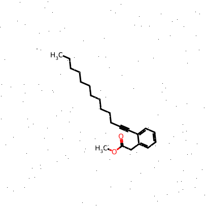 CCCCCCCCCCCC#Cc1ccccc1CC(=O)OC